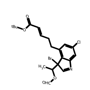 CC(OC=O)C1(Br)C=Nc2cc(Cl)cc(CCC=CC(=O)OC(C)(C)C)c21